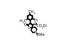 CCOC(=O)OC1=C(c2c(C)cc(C)cc2CC)C(=O)OC12CCN(OC)CC2